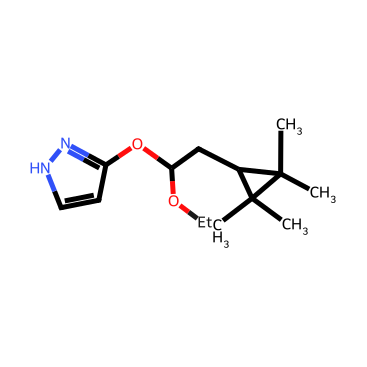 CCOC(CC1C(C)(C)C1(C)C)Oc1cc[nH]n1